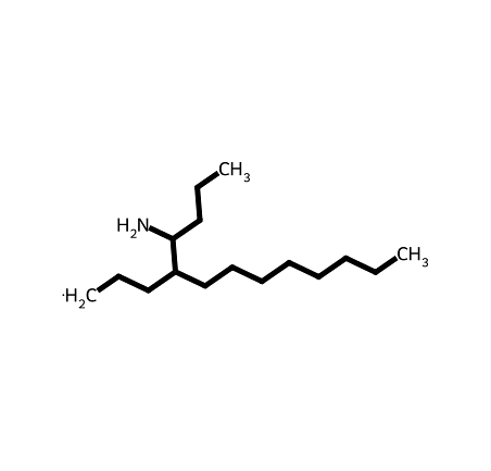 [CH2]CCC(CCCCCCCC)C(N)CCC